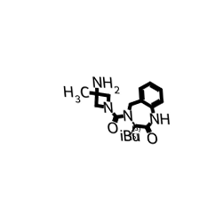 CC[C@H](C)[C@H]1C(=O)Nc2ccccc2CN1C(=O)N1CC(C)(N)C1